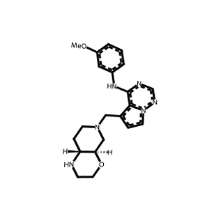 COc1cccc(Nc2ncnn3ccc(CN4CC[C@H]5NCCO[C@@H]5C4)c23)c1